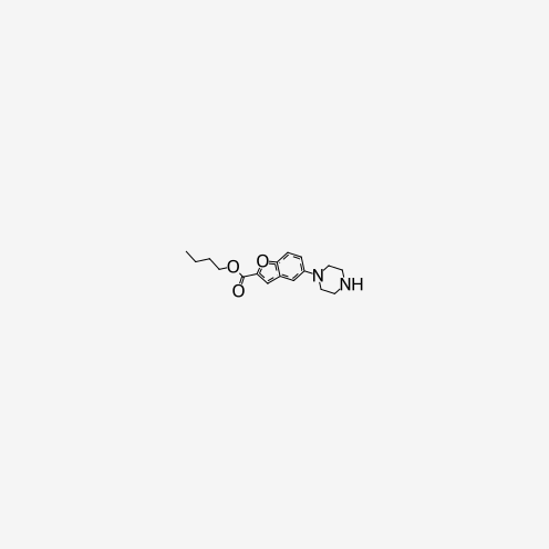 CCCCOC(=O)c1cc2cc(N3CCNCC3)ccc2o1